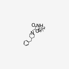 CC(C)(C)[Si](C)(C)OC(CN1CCC(Cc2ccccc2)CC1)C(N)=O